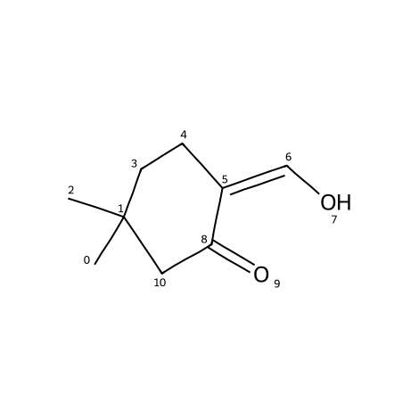 CC1(C)CCC(=CO)C(=O)C1